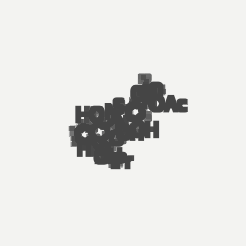 CC(=O)ON(c1cc(O)c2c(c1)SN=C(C1=C(O)c3ccccc3C(CCC(C)C)(NO)C1=O)N2O)S(C)(=O)=O